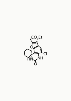 CCOC(=O)Cc1nc2cc(Cl)c3c(c2o1)C1(CCCCC1)NC(=O)N3